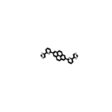 c1cc(-c2cc3ccc4cc(-c5cccc(-c6cncs6)n5)cc5ccc(c2)c3c45)nc(-c2cncs2)c1